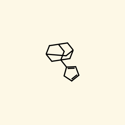 [C]1=CC=C(C23CC4CC(CC(C4)C2)C3)C1